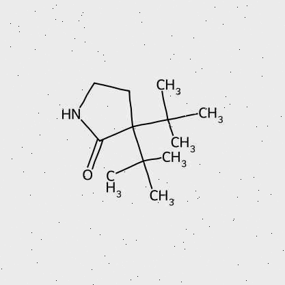 CC(C)(C)C1(C(C)(C)C)CCNC1=O